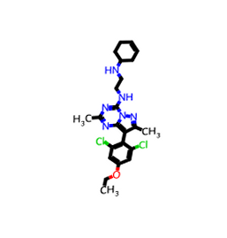 CCOc1cc(Cl)c(-c2c(C)nn3c(NCCNC4CC=CCC4)nc(C)nc23)c(Cl)c1